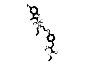 CCCN(CCOc1ccc(CC(OC)C(=O)OCC)cc1)S(=O)(=O)c1sc2ccc(F)cc2c1C